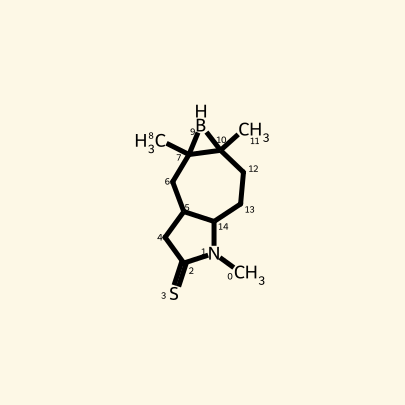 CN1C(=S)CC2CC3(C)BC3(C)CCC21